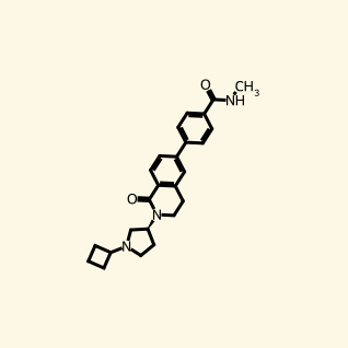 CNC(=O)c1ccc(-c2ccc3c(c2)CCN([C@H]2CCN(C4CCC4)C2)C3=O)cc1